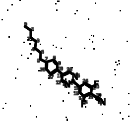 CCCCCCCc1ccc(-c2cnc(-c3cc(F)c(C#N)c(F)c3)nc2)cc1